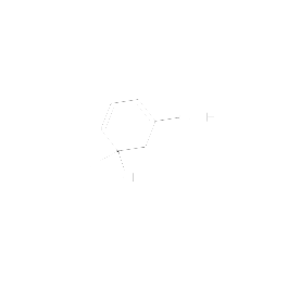 CC1(C)C=CC=C(C(=O)O)C1